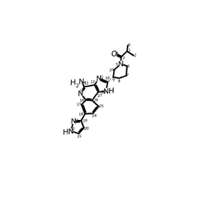 CC(C)C(=O)N1CCC[C@H](c2nc3c(N)nc4cc(-c5cc[nH]n5)ccc4c3[nH]2)C1